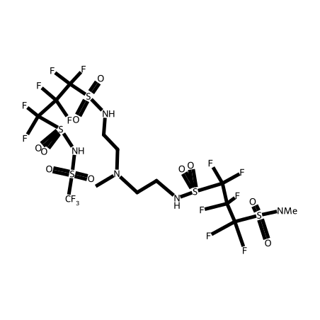 CNS(=O)(=O)C(F)(F)C(F)(F)C(F)(F)S(=O)(=O)NCCN(C)CCNS(=O)(=O)C(F)(F)C(F)(F)C(F)(F)S(=O)(=O)NS(=O)(=O)C(F)(F)F